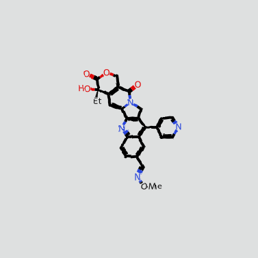 CC[C@@]1(O)C(=O)OCc2c1cc1n(c2=O)Cc2c-1nc1ccc(C=NOC)cc1c2-c1ccncc1